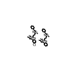 Cc1cc2c3cc(Cl)ccc3nc(CCc3nc(-c4ccccc4)cn3C)n2n1.Cc1cc2c3ccccc3nc(CCc3nc(-c4ccccc4)cn3C)n2n1